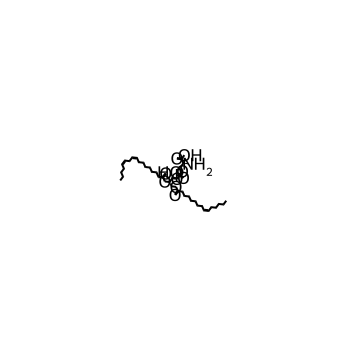 CCCC/C=C\C/C=C\CCCCCCCC(=O)O[C@H](COC(=O)CCCCCCC/C=C\CCCCC)COP(=O)(O)OC[C@H](N)C(=O)O